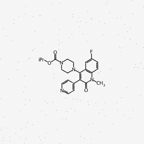 CC(C)OC(=O)N1CCN(c2c(-c3ccncc3)c(=O)n(C)c3ccc(F)cc23)CC1